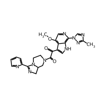 COc1cnc(-n2cnc(C)n2)c2[nH]cc(C(=O)C(=O)N3CCN4C(c5ccccn5)=NCC4C3)c12